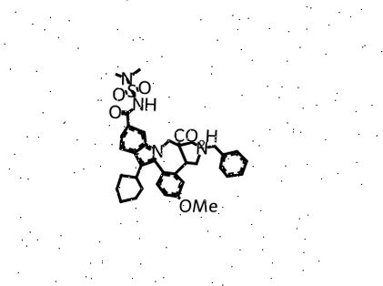 COc1ccc2c(c1)C1CN(Cc3ccccc3)CC1(C(=O)O)Cn1c-2c(C2CCCCC2)c2ccc(C(=O)NS(=O)(=O)N(C)C)cc21